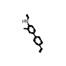 C=CNc1ccc(-c2ccc(C=C)cc2)cc1C